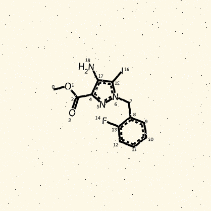 COC(=O)c1nn(Cc2ccccc2F)c(I)c1N